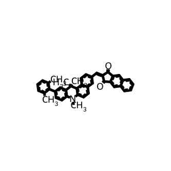 Cc1cccc(C)c1-c1ccc2c(c1)C(C)(C)c1c(ccc3cc(C=C4C(=O)c5cc6ccccc6cc5C4=O)ccc13)N2C